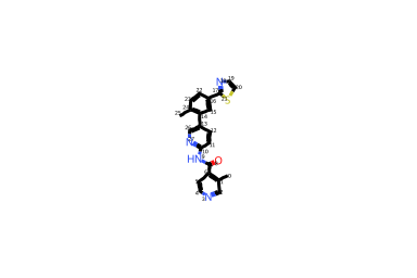 Cc1cnccc1C(=O)Nc1ccc(-c2cc(-c3nccs3)ccc2C)cn1